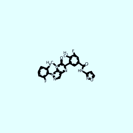 Cc1c(F)cc(C(=O)Nc2ccon2)cc1-c1nc2cnn(-c3c(F)cccc3F)c2n(C)c1=O